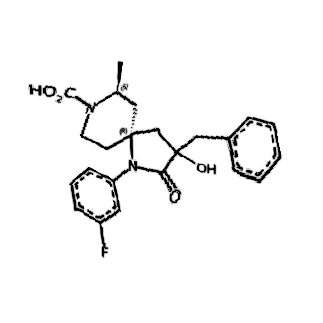 C[C@H]1C[C@]2(CCN1C(=O)O)CC(O)(Cc1ccccc1)C(=O)N2c1cccc(F)c1